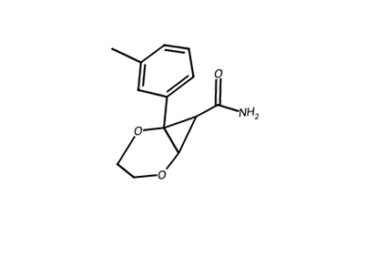 Cc1cccc(C23OCCOC2C3C(N)=O)c1